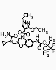 CCOc1nn(CC)cc1S(=O)(=O)N1C[C@H](C[C@H](C(N)=O)C2CC2)Oc2ccc(NC(=O)OC(C)(C)C(F)(F)F)cc21